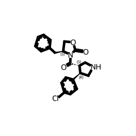 O=C1OC[C@H](Cc2ccccc2)N1C(=O)[C@@H]1CNC[C@H]1c1ccc(Cl)cc1